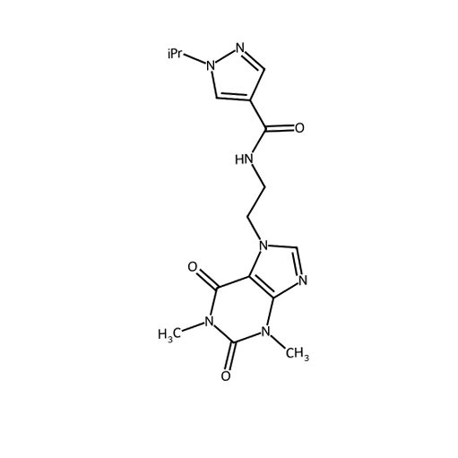 CC(C)n1cc(C(=O)NCCn2cnc3c2c(=O)n(C)c(=O)n3C)cn1